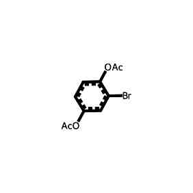 CC(=O)Oc1ccc(OC(C)=O)c(Br)c1